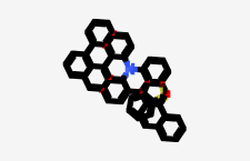 c1ccc(-c2cccc3cccc(-c4ccccc4N(c4ccccc4-c4cccc5c4ccc4ccccc45)c4cccc5sc6ccccc6c45)c23)cc1